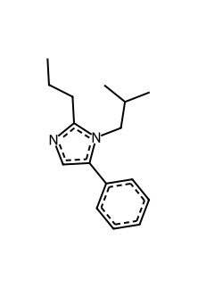 CCCc1ncc(-c2ccccc2)n1CC(C)C